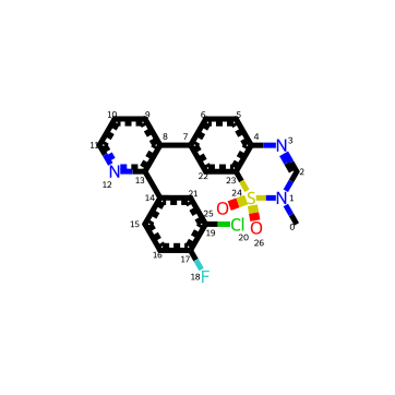 CN1C=Nc2ccc(-c3cccnc3-c3ccc(F)c(Cl)c3)cc2S1(=O)=O